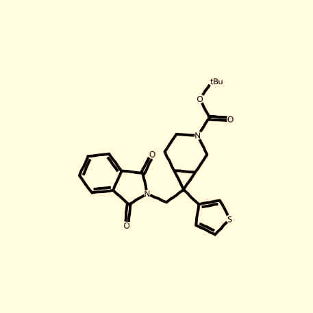 CC(C)(C)OC(=O)N1CCC2C(C1)C2(CN1C(=O)c2ccccc2C1=O)c1ccsc1